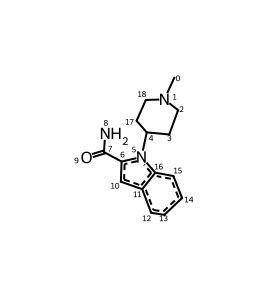 CN1CCC(n2c(C(N)=O)cc3ccccc32)CC1